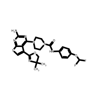 CC1(C)COC(c2csc3nc(N)nc(N4CCN(C(=O)Nc5ccc(OC(F)F)cc5)CC4)c23)=N1